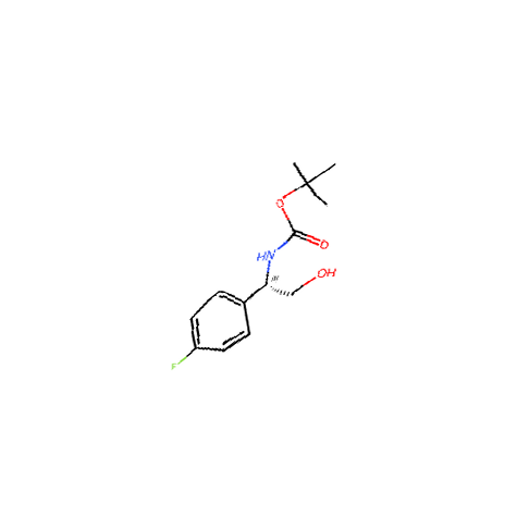 CC(C)(C)OC(=O)N[C@H](CO)c1ccc(F)cc1